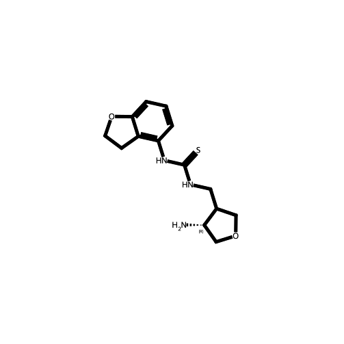 N[C@H]1COCC1CNC(=S)Nc1cccc2c1CCO2